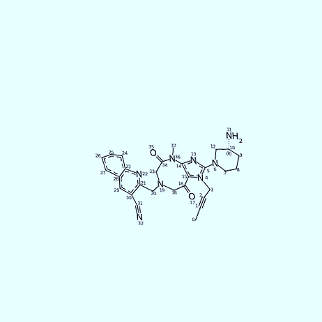 CC#CCn1c(N2CCC[C@@H](N)C2)nc2c1C(=O)CN(Cc1nc3ccccc3cc1C#N)CC(=O)N2C